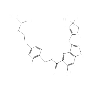 CCc1cc(OCCN(C)C)ccc1CCC(=O)c1cc2c(CC3=NC(C)(C)CO3)n[nH]c2cc1C